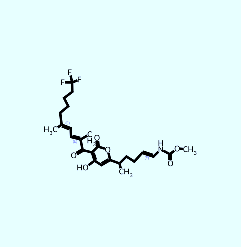 COC(=O)N/C=C/CCC(C)c1cc(O)c(C(=O)/C(C)=C/C=C(\C)CCCCC(F)(F)F)c(=O)o1